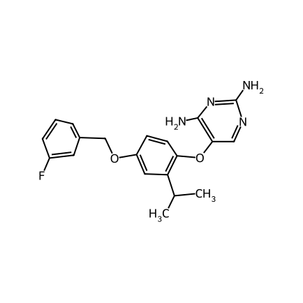 CC(C)c1cc(OCc2cccc(F)c2)ccc1Oc1cnc(N)nc1N